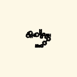 COc1ccc(-c2cccc3[nH]c(OC(=O)NC4CCN(C[C@@H]5CCCN6CCCC[C@H]56)CC4)cc23)cc1